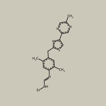 CCN/C=N/c1cc(C)c(Cc2nc(-c3cnc(C)cn3)cs2)cc1C